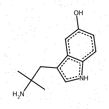 CC(C)(N)Cc1c[nH]c2ccc(O)cc12